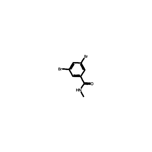 CNC(=O)c1cc(Br)cc(Br)c1